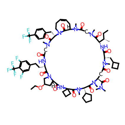 CCO[C@@H]1C[C@H]2C(=O)NC3(CCC3)C(=O)N(C)[C@@H](C3CCCC3)C(=O)N(C)[C@H](C(=O)N(C)C)CC(=O)N(C)[C@@H](CC3CCC3)C(=O)N[C@@H]([C@@H](C)CC)C(=O)N(C)CC(=O)N(C)[C@H]3C/C=C\CCN(C3=O)[C@@H](Cc3ccc(C(F)(F)F)cc3)C(=O)N(C)CC(=O)N[C@@H](CCc3cc(F)c(C(F)(F)F)c(F)c3)C(=O)N2C1